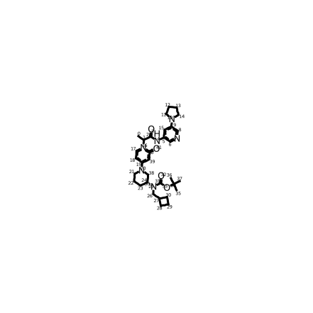 CC(C(=O)Nc1cncc(N2CCCC2)c1)n1ccc(N2CCC[C@@H](N(CC3CCC3)C(=O)OC(C)(C)C)C2)cc1=O